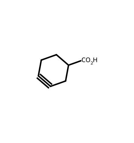 O=C(O)C1CC#CCC1